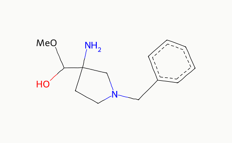 COC(O)C1(N)CCN(Cc2ccccc2)C1